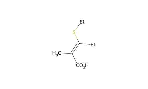 CCS/C(CC)=C(\C)C(=O)O